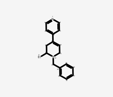 CCC1CC(c2ccncc2)=CCN1Cc1ccccc1